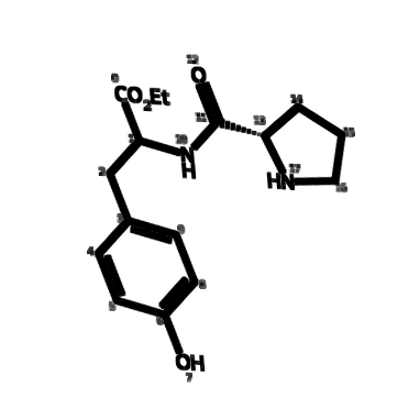 CCOC(=O)C(Cc1ccc(O)cc1)NC(=O)[C@@H]1CCCN1